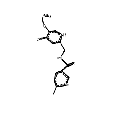 CCCCOc1c[nH]c(CNC(=O)c2ccc(F)nc2)cc1=O